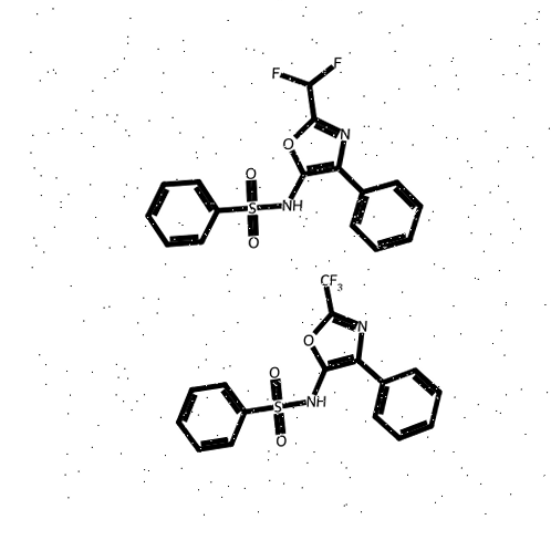 O=S(=O)(Nc1oc(C(F)(F)F)nc1-c1ccccc1)c1ccccc1.O=S(=O)(Nc1oc(C(F)F)nc1-c1ccccc1)c1ccccc1